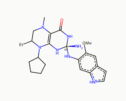 CCC1CN(C)C2=C(N[C@@](N)(Nc3cc4[nH]ccc4cc3OC)NC2=O)N1C1CCCC1